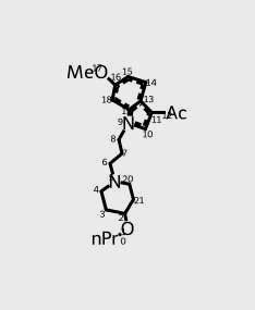 CCCOC1CCN(CCCn2cc(C(C)=O)c3ccc(OC)cc32)CC1